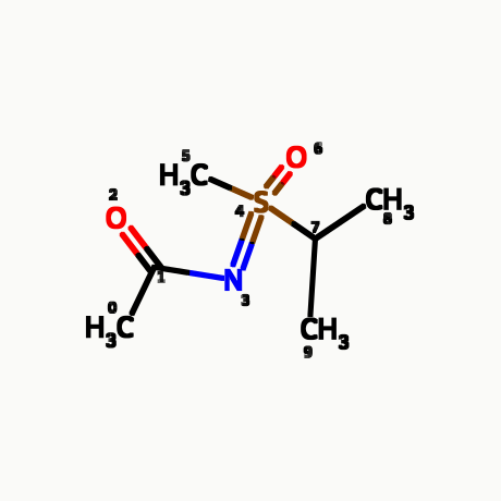 CC(=O)N=S(C)(=O)C(C)C